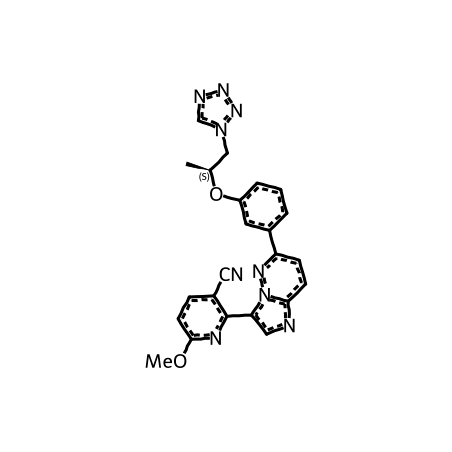 COc1ccc(C#N)c(-c2cnc3ccc(-c4cccc(O[C@@H](C)Cn5cnnn5)c4)nn23)n1